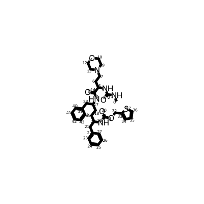 CNC(=O)NC(CCN1CCOCC1)C(=O)NC(CCC(Cc1ccccc1)NC(=O)OCc1cccs1)Cc1ccccc1